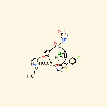 Cc1c2ccc(c1Cl)CN(CCN1CCNC(=O)C1)C(=O)Cc1ccc(OCc3ccnc(OCCC(F)(F)F)n3)c(c1)C[C@H](C(=O)O)Oc1ncnc3sc(-c4ccc(F)cc4)c-2c13